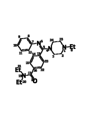 CCN1CCN(/C(=N/c2ccccc2)c2ccc(C(=O)N(CC)CC)cc2)CC1